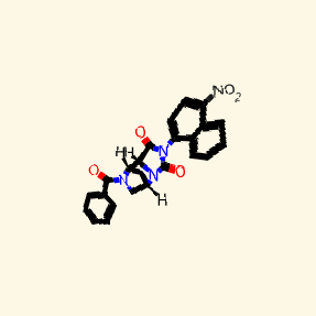 O=C1[C@H]2[C@@H]3C[C@@H](CN3C(=O)c3ccccc3)N2C(=O)N1c1ccc([N+](=O)[O-])c2ccccc12